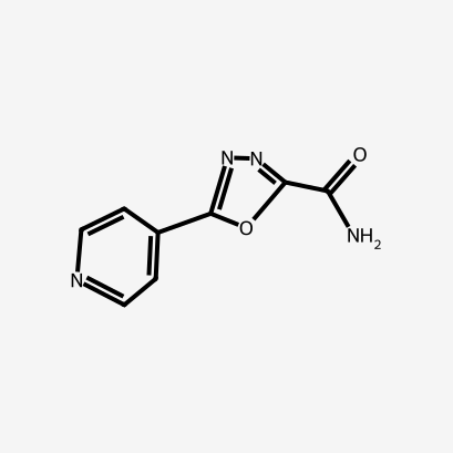 NC(=O)c1nnc(-c2ccncc2)o1